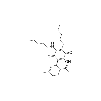 C=C(C)C1CCC(C)=C[C@H]1C1=C(O)C(=O)C(CCCCC)=C(NCCCCC)C1=O